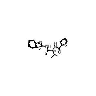 CC(C)[C@H](NC(=O)c1cccs1)C(=S)Nc1nc2ccccc2s1